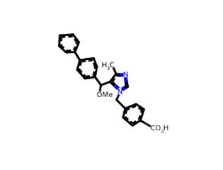 COC(c1ccc(-c2ccccc2)cc1)c1c(C)ncn1Cc1ccc(C(=O)O)cc1